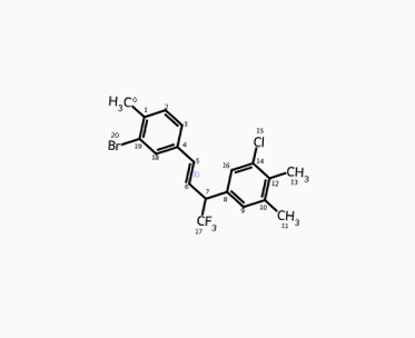 Cc1ccc(/C=C/C(c2cc(C)c(C)c(Cl)c2)C(F)(F)F)cc1Br